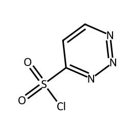 O=S(=O)(Cl)c1ccnnn1